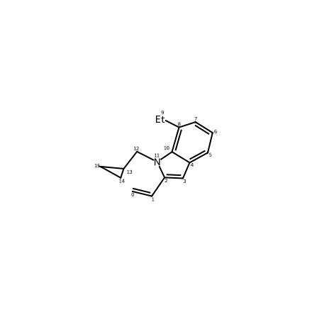 C=Cc1cc2cccc(CC)c2n1CC1CC1